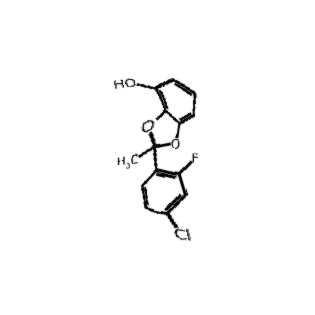 CC1(c2ccc(Cl)cc2F)Oc2cccc(O)c2O1